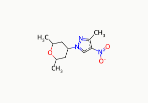 Cc1nn(C2CC(C)OC(C)C2)cc1[N+](=O)[O-]